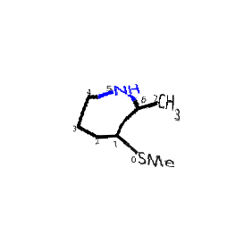 CSC1CCCNC1C